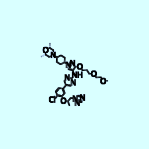 COCCOCCCOc1nn(C2CCC(N3C[C@@H](C)O[C@@H](C)C3)CC2)cc1Nc1ncc(-c2ccc(Cl)c(OC(C)Cn3cncn3)c2)cn1